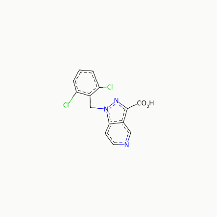 O=C(O)c1nn(Cc2c(Cl)cccc2Cl)c2ccncc12